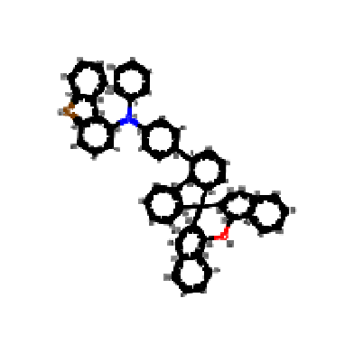 c1ccc(N(c2ccc(-c3cccc4c3-c3ccccc3C43c4ccc5ccccc5c4Oc4c3ccc3ccccc43)cc2)c2cccc3sc4ccccc4c23)cc1